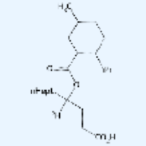 [2H]C(CCCCCCC)(CCC(=O)O)OC(=O)C1CC(C)CCC1C(C)C